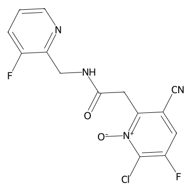 N#Cc1cc(F)c(Cl)[n+]([O-])c1CC(=O)NCc1ncccc1F